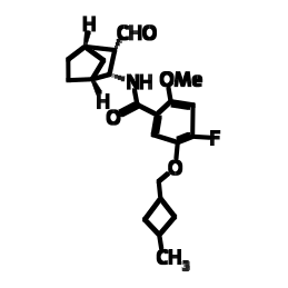 COc1cc(F)c(OCC2CC(C)C2)cc1C(=O)N[C@@H]1[C@@H]2CC[C@@H](C2)[C@@H]1C=O